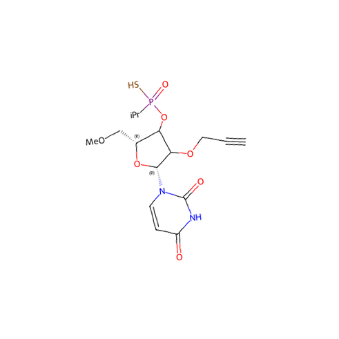 C#CCOC1C(OP(=O)(S)C(C)C)[C@@H](COC)O[C@H]1n1ccc(=O)[nH]c1=O